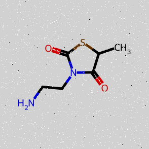 CC1SC(=O)N(CCN)C1=O